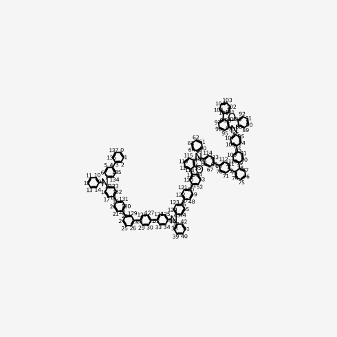 c1ccc(-c2ccc(N(c3ccccc3)c3ccc(-c4ccc(-c5cccc(-c6ccc(-c7ccc(N(c8ccccc8)c8ccc(-c9ccc(-c%10ccc%11oc%12c(N(c%13ccccc%13)c%13ccc(-c%14ccc(-c%15ccccc%15-c%15ccc(-c%16ccc(N(c%17ccccc%17)c%17cccc%18c%17oc%17ccccc%17%18)cc%16)cc%15)cc%14)cc%13)cccc%12c%11c%10)cc9)cc8)cc7)cc6)c5)cc4)cc3)cc2)cc1